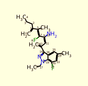 C=C(CCC)/C(C)=C(F)/C(N)=C\C(=C)c1nn(CC)c2c(F)cc(C)cc12